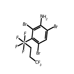 Nc1c(Br)cc(Br)c(S(F)(F)(F)(F)CCC(F)(F)F)c1Br